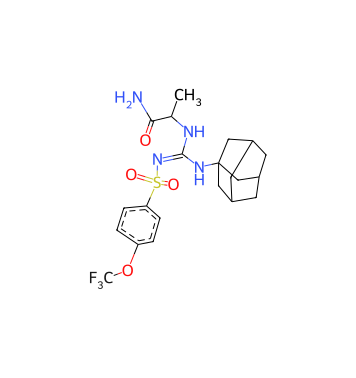 CC(N/C(=N/S(=O)(=O)c1ccc(OC(F)(F)F)cc1)NC12CC3CC(CC(C3)C1)C2)C(N)=O